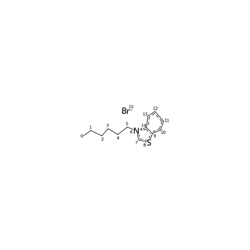 CCCCCC[n+]1csc2ccccc21.[Br-]